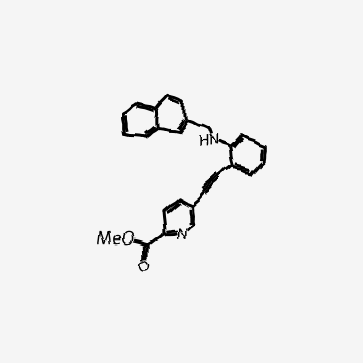 COC(=O)c1ccc(C#Cc2ccccc2NCc2ccc3ccccc3c2)cn1